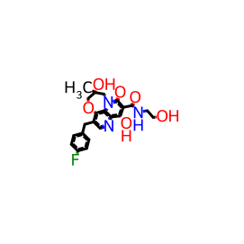 CC1(O)COc2c(Cc3ccc(F)cc3)cnc3c(O)c(C(=O)NCCO)c(=O)n(c23)C1